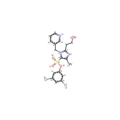 CC(C)c1nc(CCO)n(Cc2cccnc2)c1S(=O)(=O)Oc1cc(Cl)cc(Cl)c1